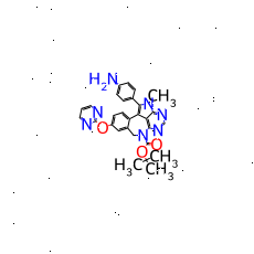 Cn1c(-c2ccc(N)cc2)c2c3c(ncnc31)N(C(=O)OC(C)(C)C)Cc1cc(Oc3ncccn3)ccc1-2